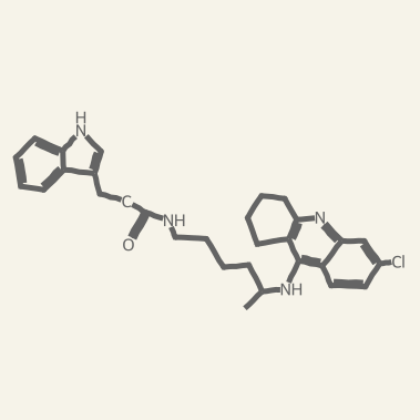 CC(CCCCNC(=O)CCc1c[nH]c2ccccc12)Nc1c2c(nc3cc(Cl)ccc13)CCCC2